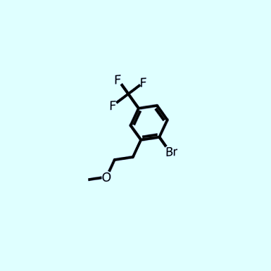 COCCc1cc(C(F)(F)F)ccc1Br